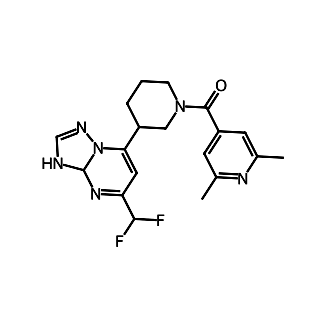 Cc1cc(C(=O)N2CCCC(C3=CC(C(F)F)=NC4NC=NN34)C2)cc(C)n1